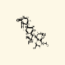 CC(C)C[C@@H](C(N)=O)N(CC#N)[C@@H](c1ccc(-c2cccc(=O)[nH]2)cc1)C(F)(F)F